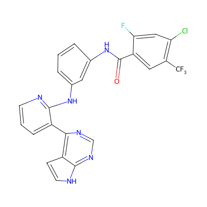 O=C(Nc1cccc(Nc2ncccc2-c2ncnc3[nH]ccc23)c1)c1cc(C(F)(F)F)c(Cl)cc1F